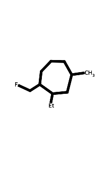 CCC1CC(C)CCCC1CF